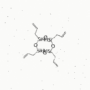 C=CC[SiH]1O[SiH](CC=C)O[SiH](CC=C)O[SiH](CC=C)O1